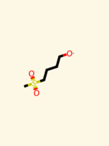 CS(=O)(=O)CCCC[O]